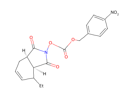 CCC1C=CC[C@H]2C(=O)N(OC(=O)OCc3ccc([N+](=O)[O-])cc3)C(=O)[C@@H]12